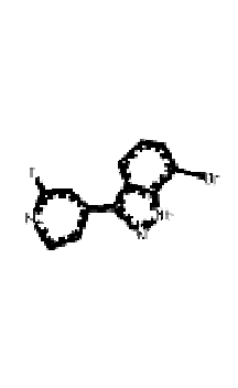 Fc1cc(-c2n[nH]c3c(Br)cccc23)ccn1